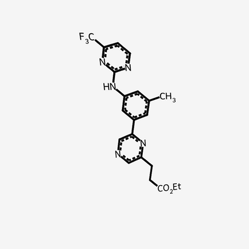 CCOC(=O)CCc1cncc(-c2cc(C)cc(Nc3nccc(C(F)(F)F)n3)c2)n1